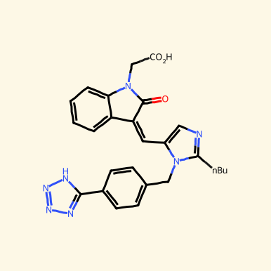 CCCCc1ncc(C=C2C(=O)N(CC(=O)O)c3ccccc32)n1Cc1ccc(-c2nnn[nH]2)cc1